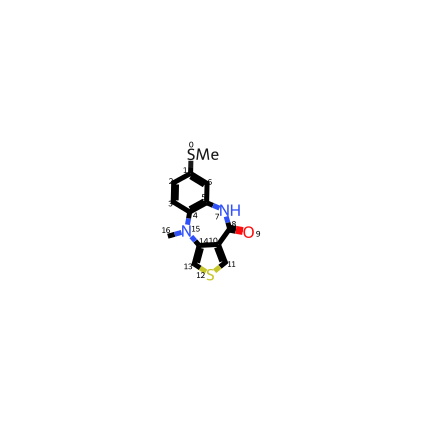 CSc1ccc2c(c1)NC(=O)c1cscc1N2C